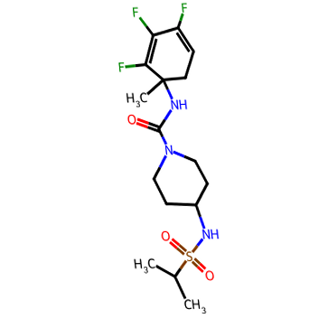 CC(C)S(=O)(=O)NC1CCN(C(=O)NC2(C)CC=C(F)C(F)=C2F)CC1